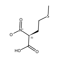 CSCC[C@@H](C(=O)O)[N+](=O)[O-]